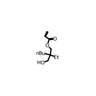 C=CC(=O)OCC(CC)(CO)CCCC